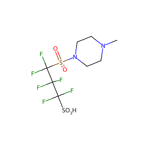 CN1CCN(S(=O)(=O)C(F)(F)C(F)(F)C(F)(F)S(=O)(=O)O)CC1